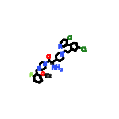 CCOc1cccc(F)c1CN1CCN(C(=O)[C@H](N)C2CCN(CCc3cc(Cl)ccc3-c3cnccc3Cl)CC2)CC1